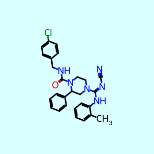 Cc1ccccc1N/C(=N/C#N)N1CCN(C(=O)NCc2ccc(Cl)cc2)C(c2ccccc2)C1